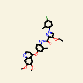 CCOc1cn(-c2ccc(F)cc2C)nc1C(=O)Nc1ccc(Oc2ccnc3cc(OC)c(OC)cc23)cc1C